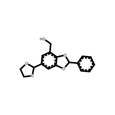 OCc1cc(C2OCCO2)cc2c1OC(c1ccccc1)O2